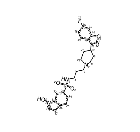 O=S(=O)(NCCCN1CCC(c2noc3cc(F)ccc23)CC1)c1ccc2cnn(O)c2c1